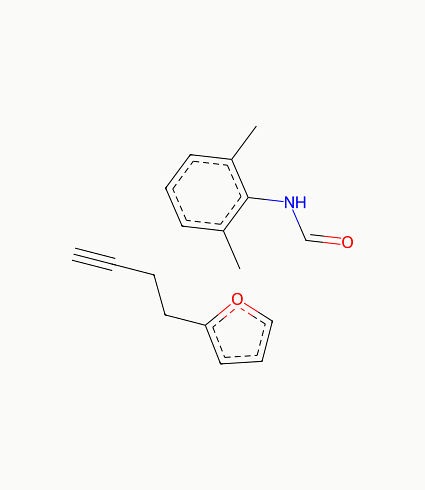 C#CCCc1ccco1.Cc1cccc(C)c1NC=O